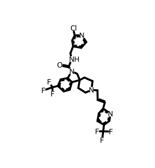 O=C(NCc1ccnc(Cl)c1)N1CC2(CCN(CC=Cc3ccc(C(F)(F)F)cn3)CC2)c2ccc(C(F)(F)F)cc21